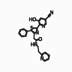 N#Cc1cnc(-c2nc(CC(=O)NCCc3ccccn3)c(-c3ccccc3)s2)c(O)c1